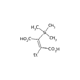 CC/C(C(=O)O)=C(\C(=O)O)[Si](C)(C)C